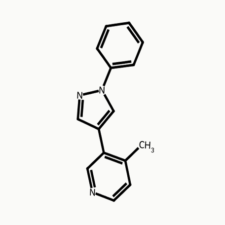 Cc1ccncc1-c1cnn(-c2ccccc2)c1